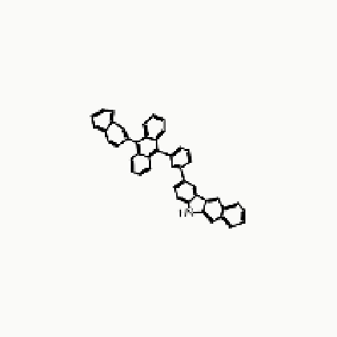 c1cc(-c2ccc3[nH]c4cc5ccccc5cc4c3c2)cc(-c2c3ccccc3c(-c3ccc4ccccc4c3)c3ccccc23)c1